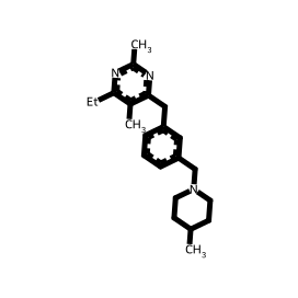 CCc1nc(C)nc(Cc2cccc(CN3CCC(C)CC3)c2)c1C